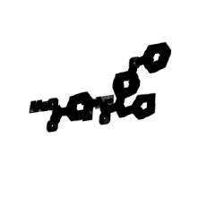 COC(=O)c1ccc(NC(=O)C(CC2CCCC2)c2ccc(Oc3ccccc3)cc2)nc1